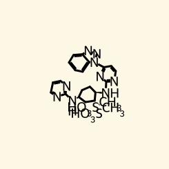 CS(=O)(=O)O.CS(=O)(=O)O.c1cnc(N[C@H]2CC[C@H](Nc3nccc(-n4nnc5ccccc54)n3)CC2)nc1